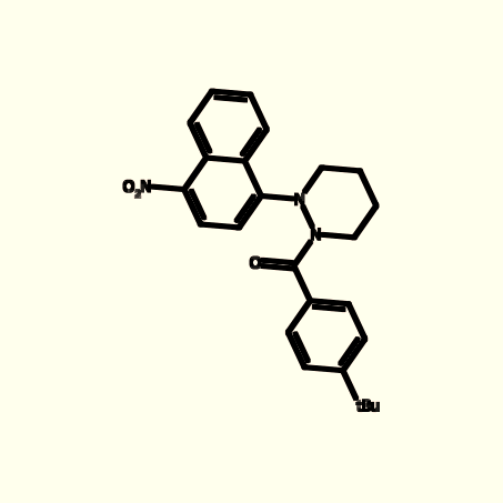 CC(C)(C)c1ccc(C(=O)N2CCCCN2c2ccc([N+](=O)[O-])c3ccccc23)cc1